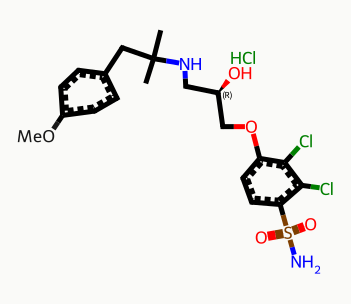 COc1ccc(CC(C)(C)NC[C@@H](O)COc2ccc(S(N)(=O)=O)c(Cl)c2Cl)cc1.Cl